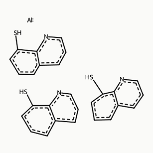 Sc1cccc2cccnc12.Sc1cccc2cccnc12.Sc1cccc2cccnc12.[Al]